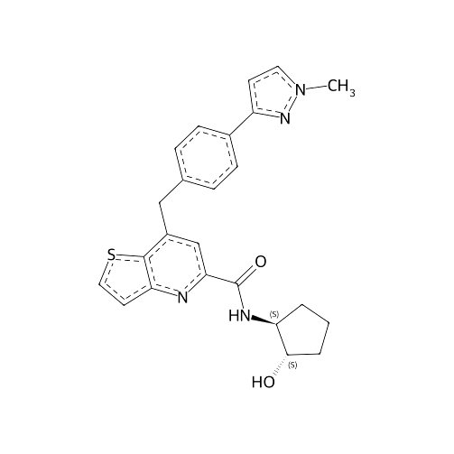 Cn1ccc(-c2ccc(Cc3cc(C(=O)N[C@H]4CCC[C@@H]4O)nc4ccsc34)cc2)n1